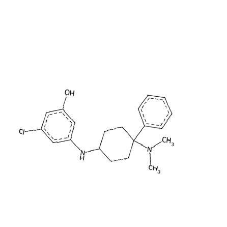 CN(C)C1(c2ccccc2)CCC(Nc2cc(O)cc(Cl)c2)CC1